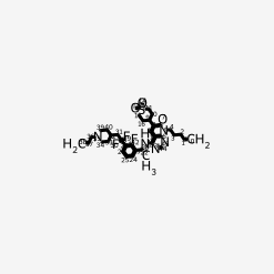 C=CCCCn1c(=O)c(C2CCS(=O)(=O)CC2)cc2c(NC(C)c3cccc(C(F)(F)CC4CCN(CC=C)CC4)c3F)ncnc21